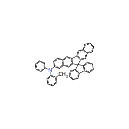 Cc1ccccc1N(c1ccccc1)c1ccc2cc3c(cc2c1)C1(c2ccccc2-c2ccccc21)c1cc2ccccc2cc1-3